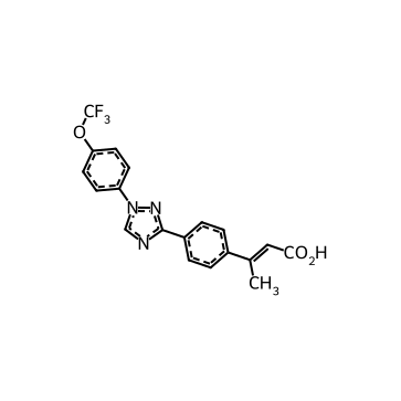 CC(=CC(=O)O)c1ccc(-c2ncn(-c3ccc(OC(F)(F)F)cc3)n2)cc1